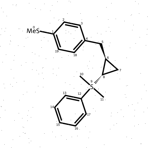 CSc1ccc(C[C@H]2C[C@@H]2S(C)(C)c2ccccc2)cc1